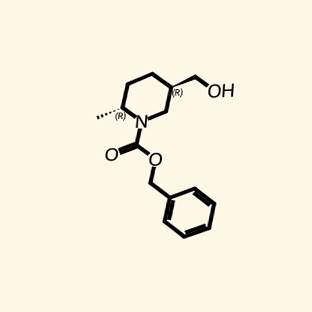 C[C@@H]1CC[C@@H](CO)CN1C(=O)OCc1ccccc1